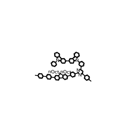 CCCCCCCCC1(CCCCCCCC)c2cc(-c3ccc(-c4ccc(C)cc4)cc3)ccc2-c2ccc(-c3ccc(-c4nc(-c5ccc(C)cc5)cc(-c5cccc(-n6c7ccccc7c7cc(-c8ccc9c(c8)c8ccccc8n9-c8ccccc8)ccc76)c5)n4)cc3)cc21